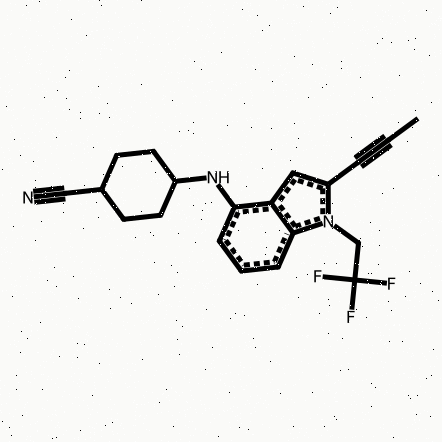 CC#Cc1cc2c(NC3CCC(C#N)CC3)cccc2n1CC(F)(F)F